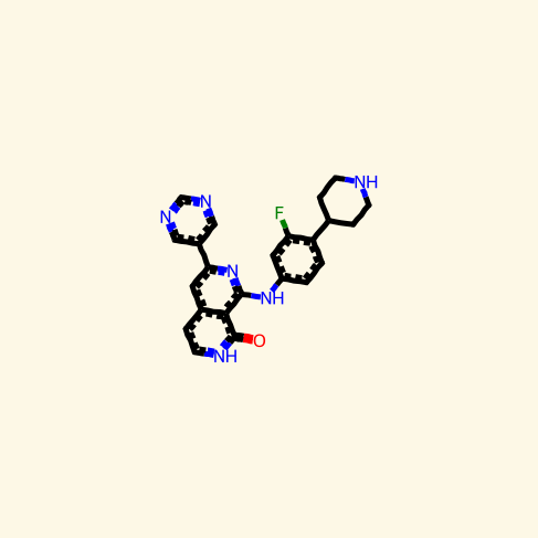 O=c1[nH]ccc2cc(-c3cncnc3)nc(Nc3ccc(C4CCNCC4)c(F)c3)c12